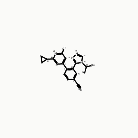 N#Cc1ccc(-c2cc(Cl)nc(C3CC3)c2)c(-c2nncn2C(F)F)c1